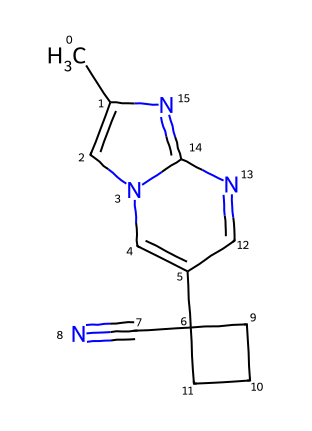 Cc1cn2cc(C3(C#N)CCC3)cnc2n1